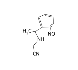 CC(NCC#N)c1ccccc1N=O